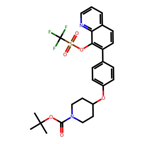 CC(C)(C)OC(=O)N1CCC(Oc2ccc(-c3ccc4cccnc4c3OS(=O)(=O)C(F)(F)F)cc2)CC1